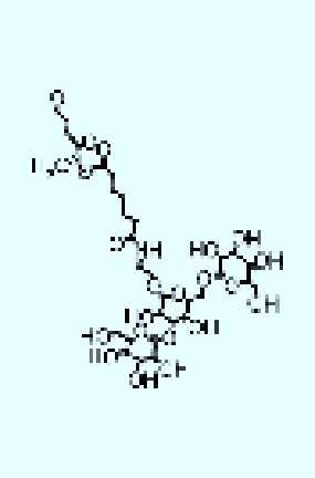 CN(OC(=O)CCCCCC(=O)NCCO[C@H]1OC(CO[C@H]2OC(CO)[C@@H](O)C(O)C2O)[C@@H](O)C(O[C@H]2OC(CO)[C@@H](O)C(O)C2O)C1O)C(=O)CCC=O